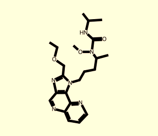 CCOCc1nc2cnc3cccnc3c2n1CCCC(C)N(OC)C(=O)NC(C)C